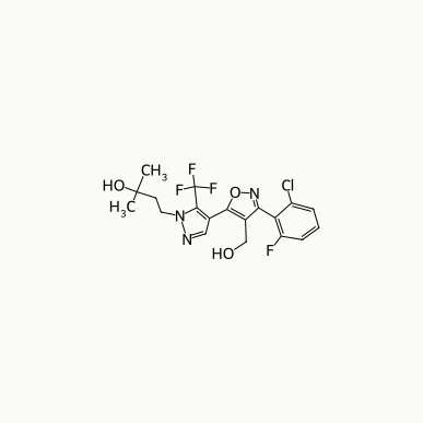 CC(C)(O)CCn1ncc(-c2onc(-c3c(F)cccc3Cl)c2CO)c1C(F)(F)F